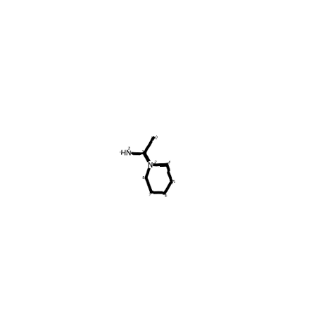 CC([NH])N1CCCCC1